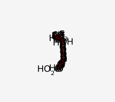 CC1(F)Oc2ccc(C3(C(=O)N[C@@H]4C[C@H](c5ccc(C(O)NCCOCCOCCOCCOCCOCCOCCOc6ccc(C7CCN(S(=O)(=O)c8ccc(C(=O)NCC(=O)O)cc8)CC7)cc6)cc5)OC5C=C(OC(F)F)C=CC54)CC3)cc2O1